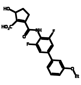 CCOc1cccc(-c2cc(F)c(NC(=O)C3=C(C(=O)O)C(O)CC3)c(F)c2)c1